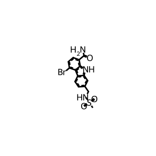 CS(=O)(=O)NCc1ccc2c(c1)[nH]c1c(C(N)=O)ccc(Br)c12